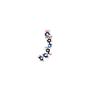 O=C(c1ccc(Nc2nccc(-c3ccc(S(=O)(=O)N4CCC(O)CC4)cc3)n2)cc1)N1CCC(N2CCCC2)CC1